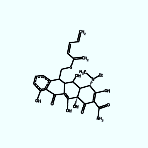 C=C/C=C\C(=C)SCC1c2cccc(O)c2C(=O)C2=C(O)[C@]3(O)C(=O)C(C(N)=O)=C(O)[C@@H](N(C)CC)C3C(O)C21